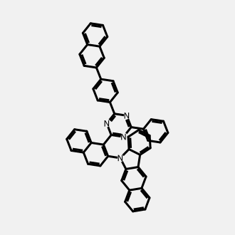 c1ccc(-c2nc(-c3ccc(-c4ccc5ccccc5c4)cc3)nc(-c3c(-n4c5ccccc5c5cc6ccccc6cc54)ccc4ccccc34)n2)cc1